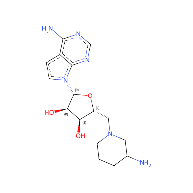 Nc1ncnc2c1ccn2[C@@H]1O[C@H](CN2CCCC(N)C2)[C@@H](O)[C@H]1O